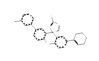 NC1=N[C@@]2(CO1)c1cc(-c3cncc(Cl)c3)ccc1Oc1cnc(C3=CCCCC3)cc12